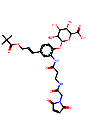 CC(C)(C)C(=O)OC/C=C/c1ccc(O[C@@H]2O[C@H](C(=O)O)[C@H](O)[C@H](O)[C@@H]2O)c(NC(=O)CCNC(=O)CN2C(=O)C=CC2=O)c1